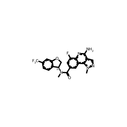 CN(C(=O)c1cc(F)c2nc(N)c3cnn(C)c3c2c1)[C@@H]1COc2cc(C(F)(F)F)ccc21